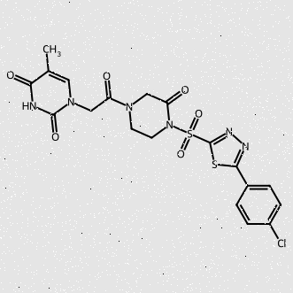 Cc1cn(CC(=O)N2CCN(S(=O)(=O)c3nnc(-c4ccc(Cl)cc4)s3)C(=O)C2)c(=O)[nH]c1=O